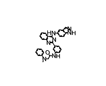 CN(CC(=O)Nc1cccc(-c2nc(Nc3ccc4[nH]ncc4c3)c3ccccc3n2)c1)c1ccccc1